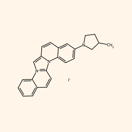 CC1CCN(c2ccc3c(ccc4c[n+]5c6ccccc6ccc5n43)c2)C1.[I-]